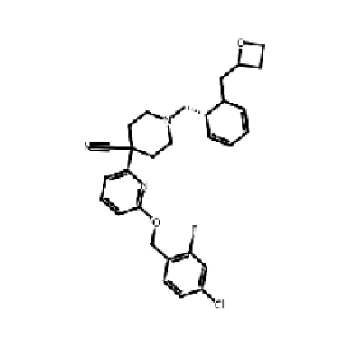 N#CC1(c2cccc(OCc3ccc(Cl)cc3F)n2)CCN(C[C@H]2C=CC=CC2CC2CCO2)CC1